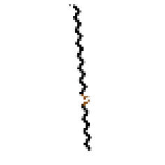 [CH2]CCCCCCCCCCCCCCSCCCCCCCC